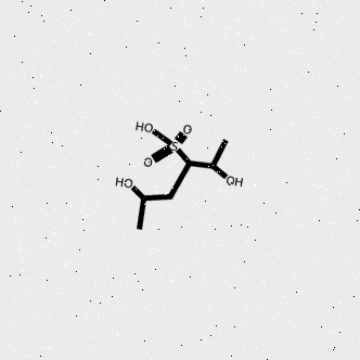 CC(O)CC(C(C)O)S(=O)(=O)O